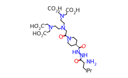 CC(C)C[C@@H](N)C(=O)NNC(=O)C1CCN(C(=O)CN(CCN(CC(=O)O)CC(=O)O)CCN(CC(=O)O)CC(=O)O)CC1